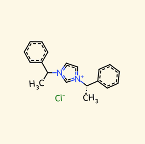 CC(c1ccccc1)n1cc[n+]([C@@H](C)c2ccccc2)c1.[Cl-]